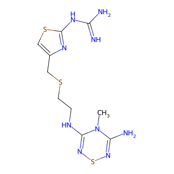 CN1C(N)=NSN=C1NCCSCc1csc(NC(=N)N)n1